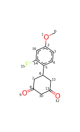 COc1ccc(C2CC(=O)CC(=O)C2)c(F)c1